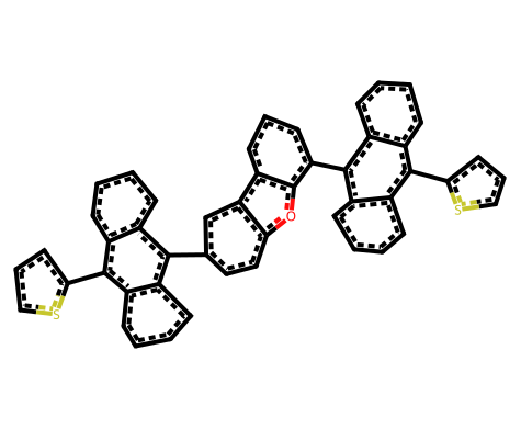 c1csc(-c2c3ccccc3c(-c3ccc4oc5c(-c6c7ccccc7c(-c7cccs7)c7ccccc67)cccc5c4c3)c3ccccc23)c1